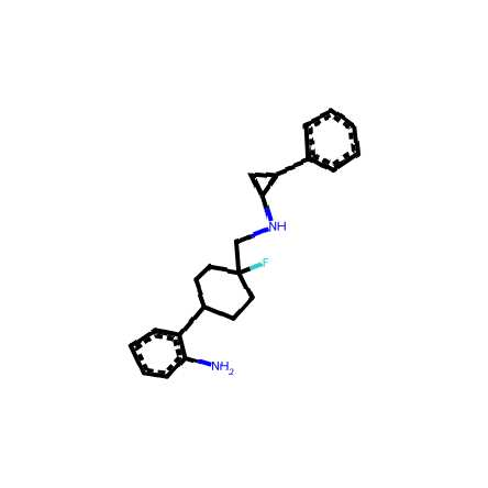 Nc1ccccc1C1CCC(F)(CNC2CC2c2ccccc2)CC1